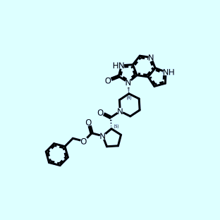 O=C([C@@H]1CCCN1C(=O)OCc1ccccc1)N1CCC[C@@H](n2c(=O)[nH]c3cnc4[nH]ccc4c32)C1